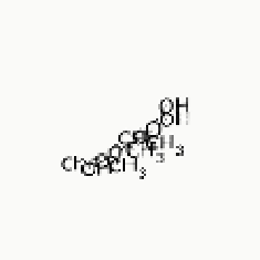 Cc1cc(C(C)(C)c2ccc(OCC(O)CCl)c(C)c2)ccc1OCC(O)CO